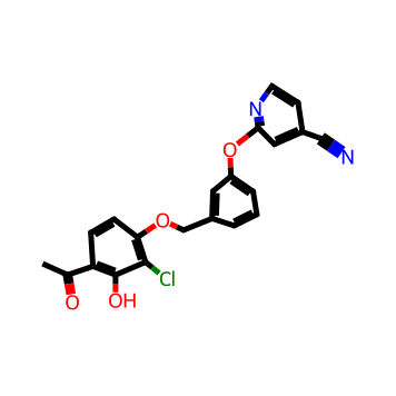 CC(=O)c1ccc(OCc2cccc(Oc3cc(C#N)ccn3)c2)c(Cl)c1O